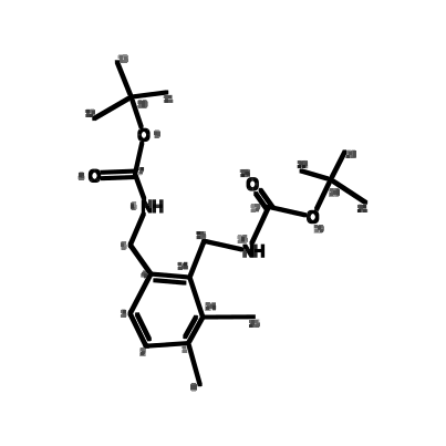 Cc1ccc(CNC(=O)OC(C)(C)C)c(CNC(=O)OC(C)(C)C)c1C